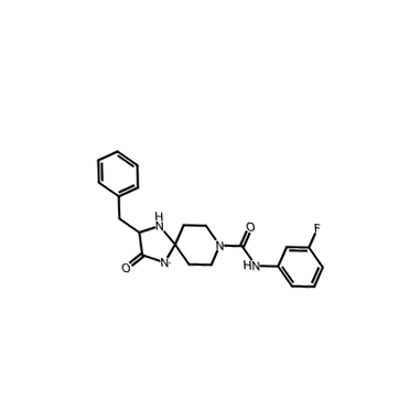 O=C1[N]C2(CCN(C(=O)Nc3cccc(F)c3)CC2)NC1Cc1ccccc1